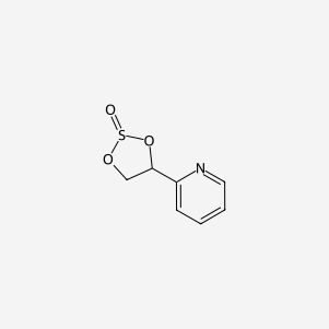 O=S1OCC(c2ccccn2)O1